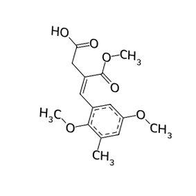 COC(=O)C(=Cc1cc(OC)cc(C)c1OC)CC(=O)O